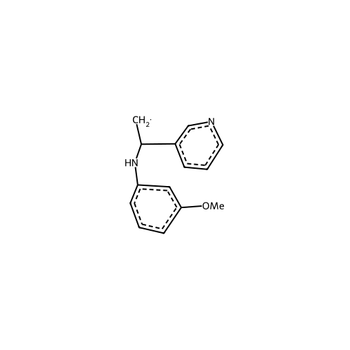 [CH2]C(Nc1cccc(OC)c1)c1cccnc1